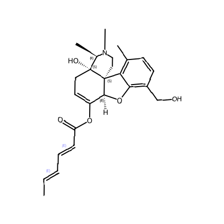 C/C=C/C=C/C(=O)OC1=CC[C@@]2(O)[C@@H](C)N(C)CC[C@@]23c2c(C)ccc(CO)c2O[C@@H]13